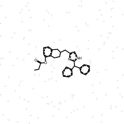 CCC(=O)Oc1cccc2c1CCC(Cc1c[nH]c(C(c3ccccc3)c3ccccc3)n1)C2